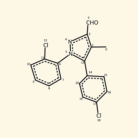 Cc1c(C=O)nn(-c2ccccc2Cl)c1-c1ccc(Cl)cc1